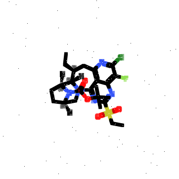 CC[C@H]1Cc2nc(Cl)c(F)c3nc(S(=O)(=O)CC)nc(c23)N2C[C@H]3CC[C@@H]([C@H]12)N3C(=O)OC(C)(C)C